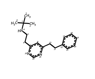 CC(C)(C)NCCc1cc(CCc2ccccc2)ncn1